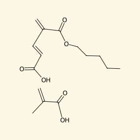 C=C(C)C(=O)O.C=C(C=CC(=O)O)C(=O)OCCCCC